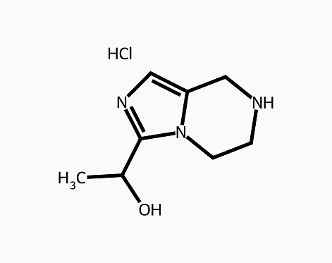 CC(O)c1ncc2n1CCNC2.Cl